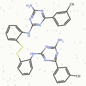 N#Cc1cccc(-c2nc(N)nc(Nc3ccccc3SSc3ccccc3Nc3nc(N)nc(-c4cccc(C#N)c4)n3)n2)c1